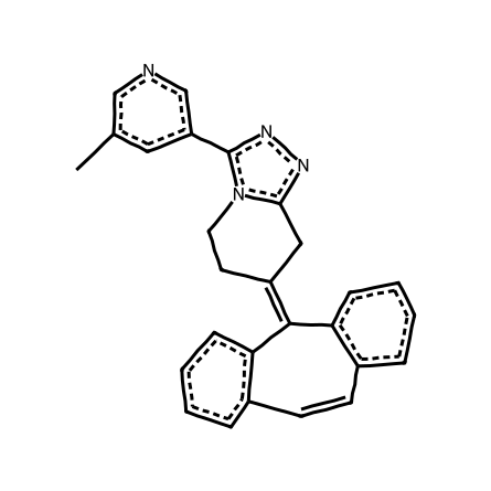 Cc1cncc(-c2nnc3n2CCC(=C2c4ccccc4C=Cc4ccccc42)C3)c1